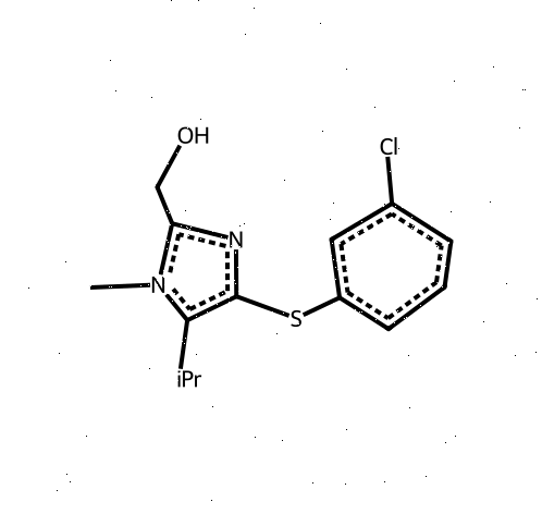 CC(C)c1c(Sc2cccc(Cl)c2)nc(CO)n1C